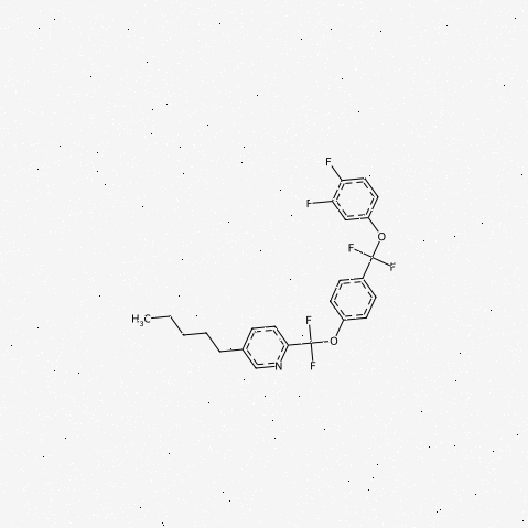 CCCCCc1ccc(C(F)(F)Oc2ccc(C(F)(F)Oc3ccc(F)c(F)c3)cc2)nc1